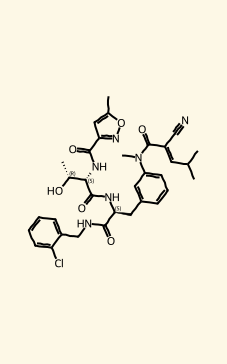 Cc1cc(C(=O)N[C@H](C(=O)N[C@@H](Cc2cccc(N(C)C(=O)C(C#N)=CC(C)C)c2)C(=O)NCc2ccccc2Cl)[C@@H](C)O)no1